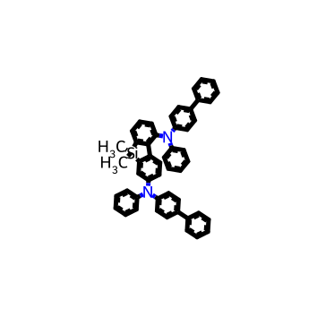 C[Si]1(C)c2cc(N(c3ccccc3)c3ccc(-c4ccccc4)cc3)ccc2-c2c(N(c3ccccc3)c3ccc(-c4ccccc4)cc3)cccc21